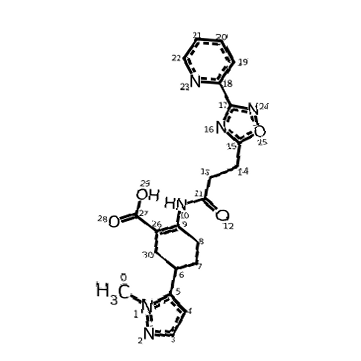 Cn1nccc1C1CCC(NC(=O)CCc2nc(-c3ccccn3)no2)=C(C(=O)O)C1